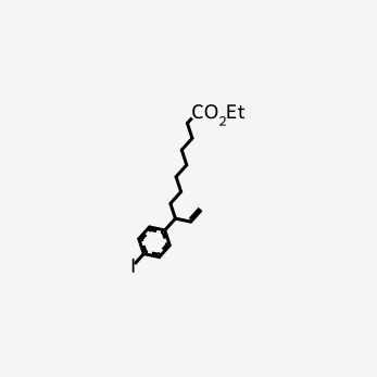 C=CC(CCCCCCCC(=O)OCC)c1ccc(I)cc1